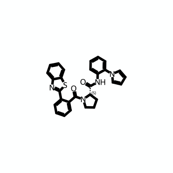 O=C(Nc1ccccc1-n1cccc1)[C@@H]1CCCN1C(=O)c1ccccc1-c1nc2ccccc2s1